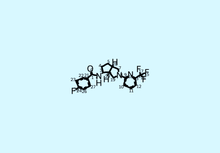 O=C(N[C@H]1CC[C@@H]2CN(c3cccc(C(F)(F)F)n3)C[C@@H]21)c1ccc(F)cc1